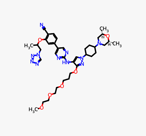 COCCOCCOCCCOc1nn(C2CCC(N3C[C@@H](C)O[C@@H](C)C3)CC2)cc1Nc1ncc(-c2ccc(C#N)c(OC(C)Cn3cnnn3)c2)cn1